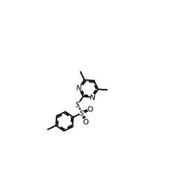 Cc1ccc(S(=O)(=O)Sc2nc(C)cc(C)n2)cc1